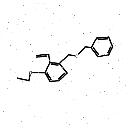 C=Cc1c(COCc2ccccc2)cccc1OCC